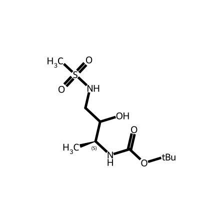 C[C@H](NC(=O)OC(C)(C)C)C(O)CNS(C)(=O)=O